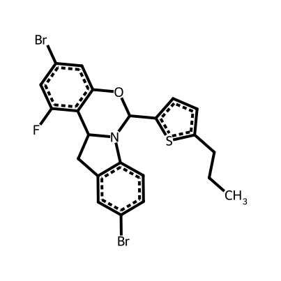 CCCc1ccc(C2Oc3cc(Br)cc(F)c3C3Cc4cc(Br)ccc4N32)s1